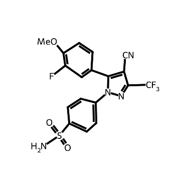 COc1ccc(-c2c(C#N)c(C(F)(F)F)nn2-c2ccc(S(N)(=O)=O)cc2)cc1F